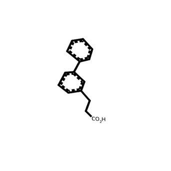 O=C(O)CCc1cccc(-c2ccccc2)c1